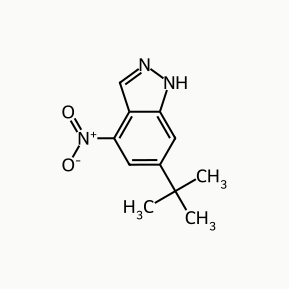 CC(C)(C)c1cc([N+](=O)[O-])c2cn[nH]c2c1